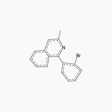 Cc1cc2ccccc2c(-c2ccccc2Br)n1